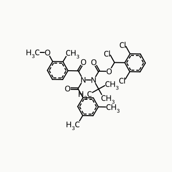 COc1cccc(C(=O)N(C(=O)c2cc(C)cc(C)c2)N(C(=O)OC(Cl)c2c(Cl)cccc2Cl)C(C)(C)C)c1C